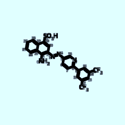 Nc1c(/N=N/c2ccc(-c3cc(C(F)(F)F)cc(C(F)(F)F)c3)nc2)cc(S(=O)(=O)O)c2ccccc12